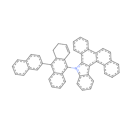 C1=Cc2c(c(-c3ccc4ccccc4c3)c3ccccc3c2-n2c3ccccc3c3c4c5ccccc5ccc4c4ccccc4c32)CC1